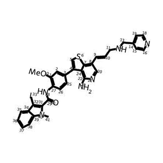 COc1cc(-c2csc3c(C=CCNCc4ccncc4)cnc(N)c23)ccc1NC(=O)c1c(I)c2ccccc2n1C